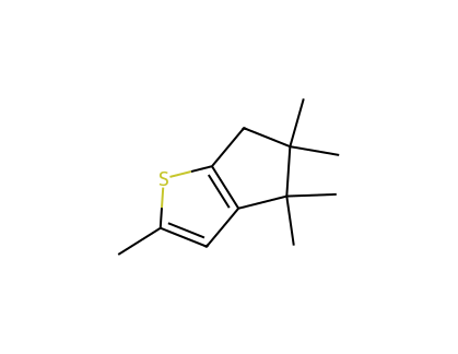 Cc1cc2c(s1)CC(C)(C)C2(C)C